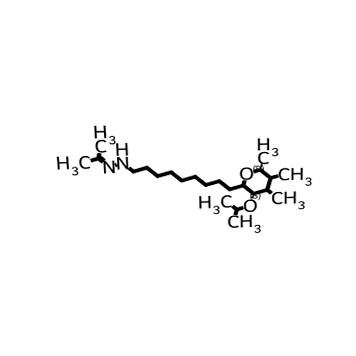 CC(C)=NNCCCCCCCCCC1O[C@H](C)C(C)C(C)[C@@H]1OC(C)C